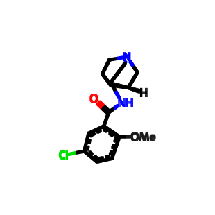 COc1ccc(Cl)cc1C(=O)N[C@H]1CN2CCC1CC2